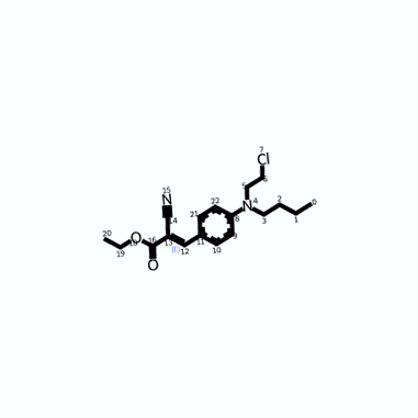 CCCCN(CCCl)c1ccc(/C=C(\C#N)C(=O)OCC)cc1